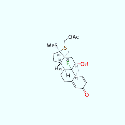 CS[C@@]1(SCOC(C)=O)CC[C@H]2[C@@H]3CCC4=CC(=O)C=C[C@]4(C)C3(F)[C@@H](O)C[C@@]21C